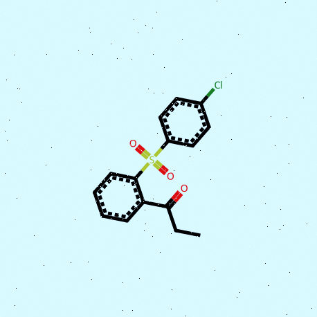 CCC(=O)c1ccccc1S(=O)(=O)c1ccc(Cl)cc1